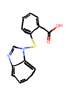 O=C(O)c1ccccc1Sn1cnc2ccccc21